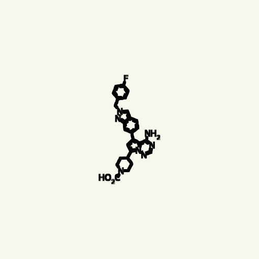 Nc1ncnn2c(C3CCN(C(=O)O)CC3)cc(-c3ccc4cn(Cc5ccc(F)cc5)nc4c3)c12